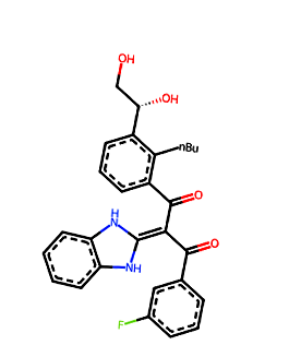 CCCCc1c(C(=O)C(C(=O)c2cccc(F)c2)=C2Nc3ccccc3N2)cccc1[C@@H](O)CO